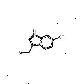 FC(F)(F)c1ccc2c(CBr)c[nH]c2c1